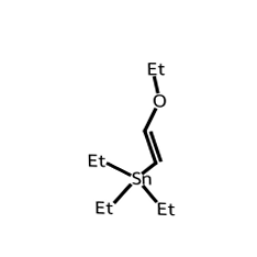 CCOC=[CH][Sn]([CH2]C)([CH2]C)[CH2]C